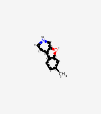 Cc1ccc2c(c1)oc1cnccc12